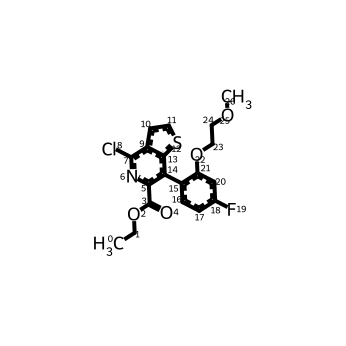 CCOC(=O)c1nc(Cl)c2ccsc2c1-c1ccc(F)cc1OCCOC